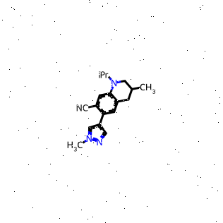 CC1Cc2cc(-c3cnn(C)c3)c(C#N)cc2N(C(C)C)C1